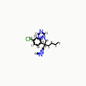 C#N.CCCCC(C#N)(Cn1cncn1)c1ccc(Cl)cc1